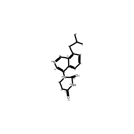 CC(C)Cc1cccc2c(N3CCC(=O)NC3=O)cncc12